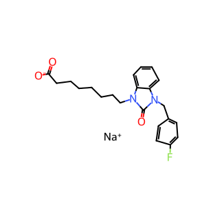 O=C([O-])CCCCCCCn1c(=O)n(Cc2ccc(F)cc2)c2ccccc21.[Na+]